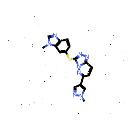 Cn1cc(-c2ccc3nnc(Sc4ccc5ncn(C)c5c4)n3n2)cn1